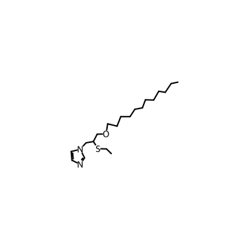 CCCCCCCCCCCCOCC(Cn1ccnc1)SCC